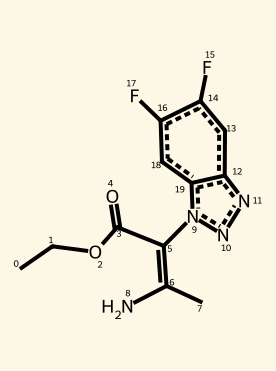 CCOC(=O)/C(=C(/C)N)n1nnc2cc(F)c(F)cc21